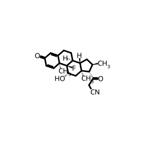 C[C@@H]1C[C@H]2[C@@H]3CCC4=CC(=O)C=C[C@]4(C)[C@@]3(F)[C@@H](O)C[C@]2(C)[C@H]1C(=O)CC#N